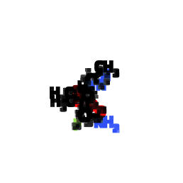 Cc1ncnc2c1ccn2[C@@H]1C[C@H](Oc2ccc(F)cc2C(N)=O)[C@H]2OC(C)(C)O[C@H]21